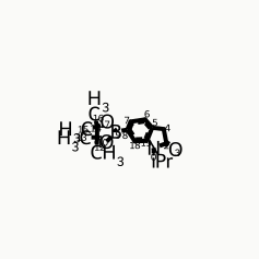 CC(C)N1C(=O)Cc2ccc(B3OC(C)(C)C(C)(C)O3)cc21